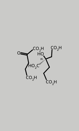 O=C(O)CCC(=O)C(=O)O.O=C(O)CC[C@@](O)(CC(=O)O)C(=O)O